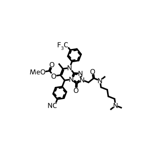 COC(=O)OC1=C(C)N(c2cccc(C(F)(F)F)c2)c2nn(CC(=O)N(C)CCCCN(C)C)c(=O)n2C1c1ccc(C#N)cc1